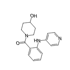 O=C(c1ccccc1Nc1ccncc1)N1CCC(O)CC1